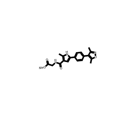 COC(=O)CNC(=O)c1cc(-c2ccc(-c3c(C)noc3C)cc2)[nH]c1C